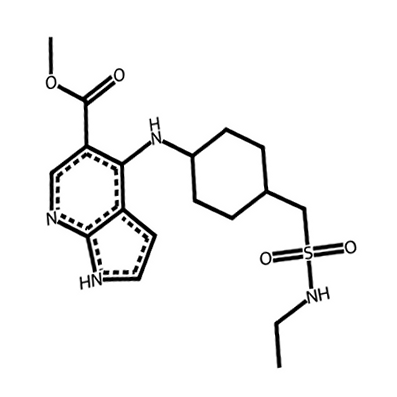 CCNS(=O)(=O)CC1CCC(Nc2c(C(=O)OC)cnc3[nH]ccc23)CC1